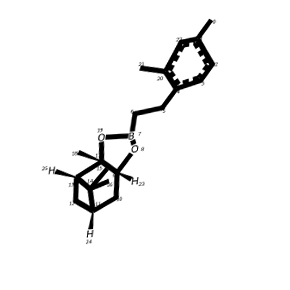 Cc1ccc(CCB2O[C@@H]3C[C@@H]4C[C@@H](C4(C)C)[C@]3(C)O2)c(C)c1